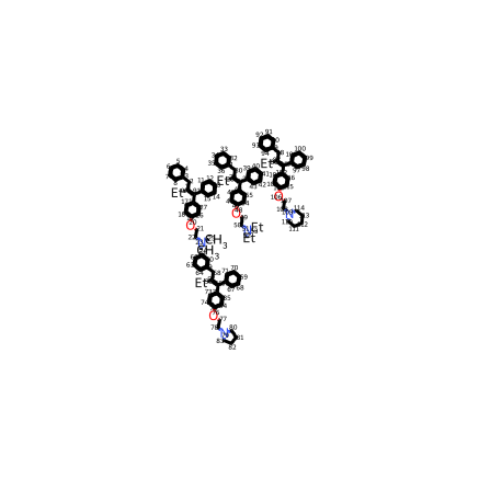 CCC(Cc1ccccc1)=C(c1ccccc1)c1ccc(OCCN(C)C)cc1.CCC(Cc1ccccc1)=C(c1ccccc1)c1ccc(OCCN(CC)CC)cc1.CCC(Cc1ccccc1)=C(c1ccccc1)c1ccc(OCCN2CCCC2)cc1.CCC(Cc1ccccc1)=C(c1ccccc1)c1ccc(OCCN2CCCCC2)cc1